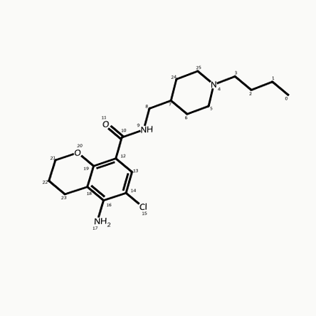 CCCCN1CCC(CNC(=O)c2cc(Cl)c(N)c3c2OCCC3)CC1